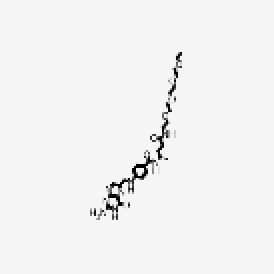 CCOCCOCCOCCOCCNC(=O)CC[C@@H](C)NC(=O)c1ccc(NCc2cnc3nc(N)[nH]c(=O)c3n2)cc1